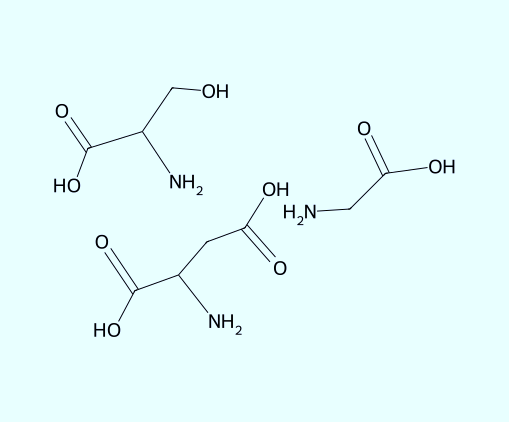 NC(CC(=O)O)C(=O)O.NC(CO)C(=O)O.NCC(=O)O